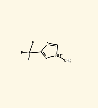 [CH2-][NH+]1C=NC(C(F)(F)F)=N1